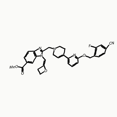 COC(=O)c1ccc2nc(CN3CC=C(c4cccc(OCc5ccc(C#N)cc5F)n4)CC3)n(C=C3CCO3)c2c1